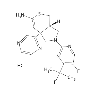 CC(C)(F)c1nc(N2C[C@H]3CSC(N)=NC3(c3cnccn3)C2)ncc1F.Cl